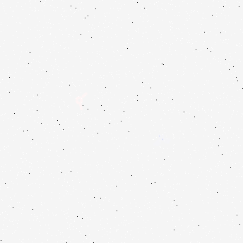 CCOc1cc(C#Cc2cccc(C)n2)ccc1F